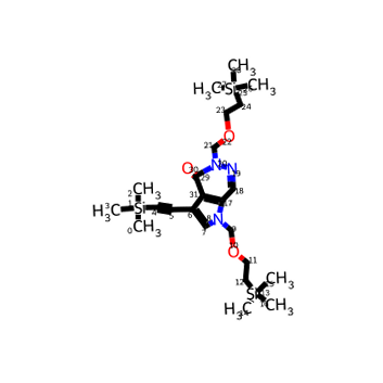 C[Si](C)(C)C#Cc1cn(COCC[Si](C)(C)C)c2cnn(COCC[Si](C)(C)C)c(=O)c12